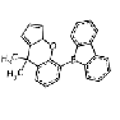 CC1(C)C2=CC=CC2Oc2c(B3c4ccccc4-c4ccccc43)cccc21